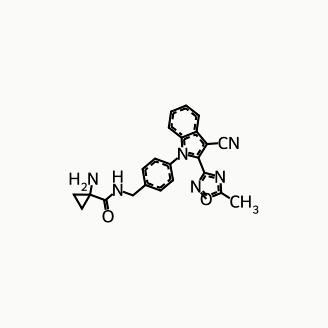 Cc1nc(-c2c(C#N)c3ccccc3n2-c2ccc(CNC(=O)C3(N)CC3)cc2)no1